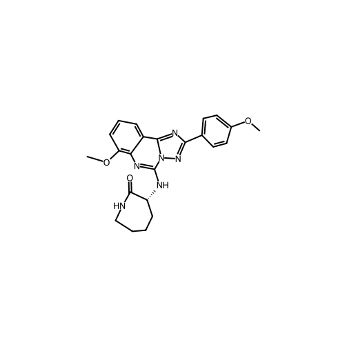 COc1ccc(-c2nc3c4cccc(OC)c4nc(N[C@@H]4CCCCNC4=O)n3n2)cc1